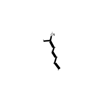 C=CC=CC=C(C)C#N